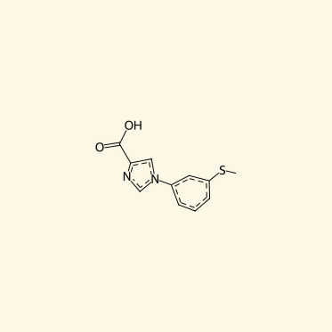 CSc1cccc(-n2cnc(C(=O)O)c2)c1